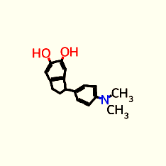 CN(C)c1ccc(C2CCc3cc(O)c(O)cc32)cc1